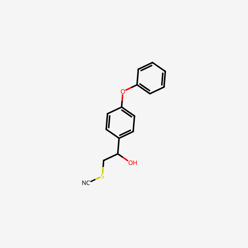 N#CSCC(O)c1ccc(Oc2ccccc2)cc1